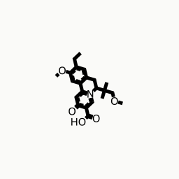 CCc1cc2c(cc1OC)-c1cc(=O)c(C(=O)O)cn1C(C(C)(C)COC)C2